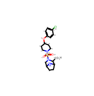 O=C(O)C1C2CCC(CN1S(=O)(=O)N1CCC(Oc3ccc(Cl)cc3)CC1)N2